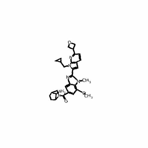 COc1cc(C(=O)N2CC3CCC2C3N)cc2nc(-c3cc4ccc(C5COC5)nc4n3CC3CC3)n(C)c12